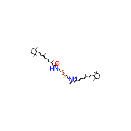 C=C(/C=C(C)/C=C/C=C(C)/C=C/C1=C(C)CCCC1(C)C)NCCSSCCNC(=O)/C=C(C)/C=C/C=C(C)/C=C/C1=C(C)CCCC1(C)C